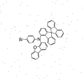 Brc1ccc(N(c2cccc3c2-c2ccccc2C32c3ccccc3-c3ccccc32)c2cccc3c2oc2ccccc23)cc1